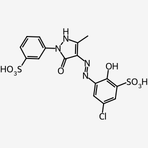 Cc1[nH]n(-c2cccc(S(=O)(=O)O)c2)c(=O)c1N=Nc1cc(Cl)cc(S(=O)(=O)O)c1O